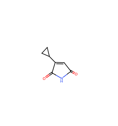 O=C1C=C(C2CC2)C(=O)N1